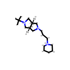 CC(C)(C)N1C[C@H]2CN(CCCN3CCCCC3)C[C@H]2C1